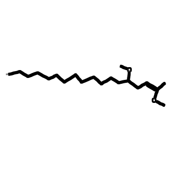 [CH2]CCCCCCCCCCCCC(C/C=C(/C)OC)OC